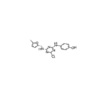 Cc1ccc(CNc2nc(Cl)nc(Nc3ccc(O)cc3)n2)o1